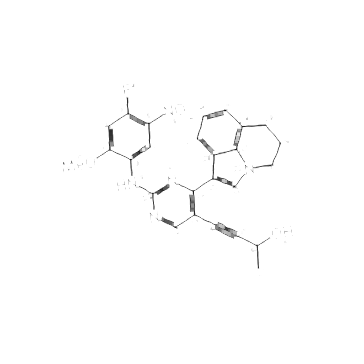 COc1cc(F)c([N+](=O)[O-])cc1Nc1ncc(C#CC(C)O)c(-c2cn3c4c(cccc24)CCC3)n1